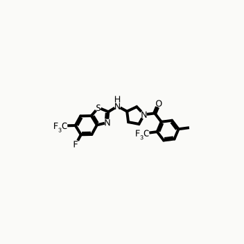 Cc1ccc(C(F)(F)F)c(C(=O)N2CCC(Nc3nc4cc(F)c(C(F)(F)F)cc4s3)C2)c1